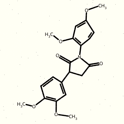 COc1ccc(N2C(=O)CC(c3ccc(OC)c(OC)c3)C2=O)c(OC)c1